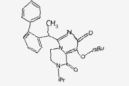 CCCCOc1c2n(c(C(C)c3ccccc3-c3ccccc3)nc1=O)CCN(C(C)C)C2=O